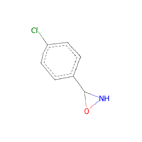 Clc1ccc(C2NO2)cc1